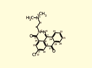 CN(C)CCn1nc2c3c(cc(Cl)cc3c1=O)C(=O)c1ccccc1-2